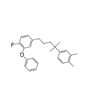 Cc1ccc(C(C)(C)CCCc2ccc(F)c(Oc3ccccc3)c2)cc1C